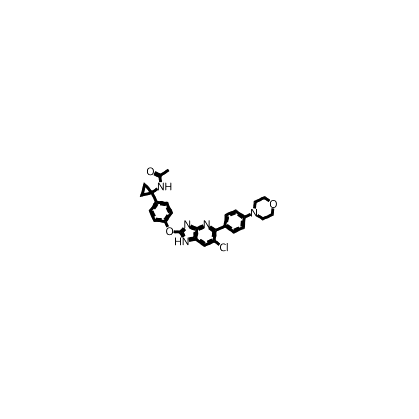 CC(=O)NC1(c2ccc(Oc3nc4nc(-c5ccc(N6CCOCC6)cc5)c(Cl)cc4[nH]3)cc2)CC1